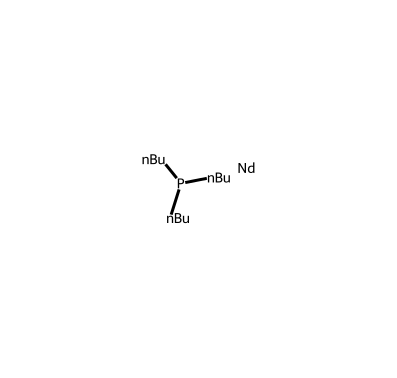 CCCCP(CCCC)CCCC.[Nd]